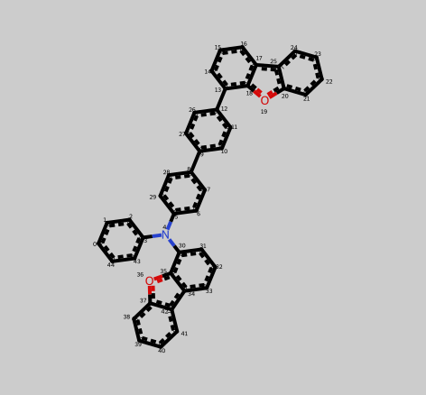 c1ccc(N(c2ccc(-c3ccc(-c4cccc5c4oc4ccccc45)cc3)cc2)c2cccc3c2oc2ccccc23)cc1